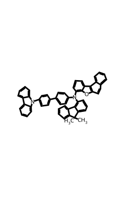 CC1(C)c2ccccc2-c2c(N(c3ccc(-c4ccc(-n5c6ccccc6c6ccccc65)cc4)cc3)c3cccc4c3oc3ccc5ccccc5c34)cccc21